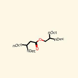 CCCCCCCCCCC(CCCCCCCC)COC(=O)CC(CCCCCCCC)CCCCCCCCCC